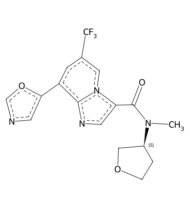 CN(C(=O)c1cnc2c(-c3cnco3)cc(C(F)(F)F)cn12)[C@H]1CCOC1